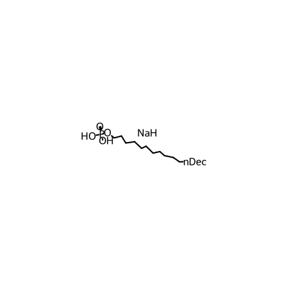 CCCCCCCCCCCCCCCCCCCCCOP(=O)(O)O.[NaH]